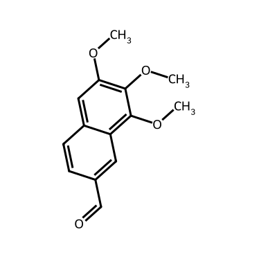 COc1cc2ccc(C=O)cc2c(OC)c1OC